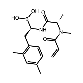 C=CC(=O)N(C)[C@@H](C)C(=O)N[C@@H](Cc1ccc(C)cc1C)B(O)O